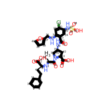 C[C@H](N[C@@H](CCc1ccccc1)C(=O)O)C(=O)N1C[C@@H](NC(=O)c2cc(NS(=O)(=O)O)c(Cl)cc2NCc2ccco2)CC1C(=O)O